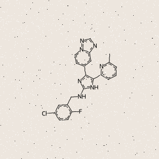 Cc1cccc(-c2[nH]c(NCc3cc(Cl)ccc3F)nc2-c2ccn3ncnc3c2)n1